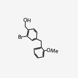 COc1ccccc1Cc1ccc(CO)c(Br)c1